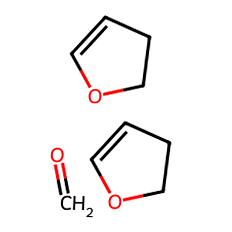 C1=COCC1.C1=COCC1.C=O